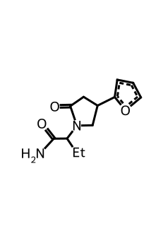 CCC(C(N)=O)N1CC(c2ccco2)CC1=O